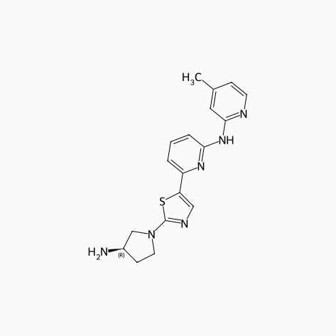 Cc1ccnc(Nc2cccc(-c3cnc(N4CC[C@@H](N)C4)s3)n2)c1